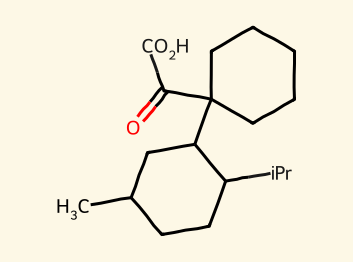 CC1CCC(C(C)C)C(C2(C(=O)C(=O)O)CCCCC2)C1